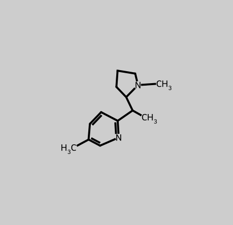 Cc1ccc(C(C)C2CCCN2C)nc1